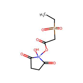 CCS(=O)(=O)CC(=O)O[N+]1(O)C(=O)CCC1=O